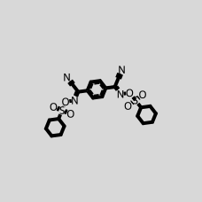 N#CC(=NOS(=O)(=O)C1CCCCC1)c1ccc(C(C#N)=NOS(=O)(=O)C2CCCCC2)cc1